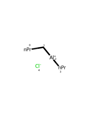 CCC[CH2][Al+][CH2]CC.[Cl-]